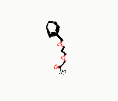 O=NC(=O)COCCCOCc1ccccc1